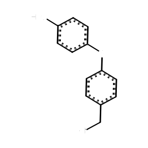 Cc1ccc(Sc2ccc(CCl)cc2)cc1